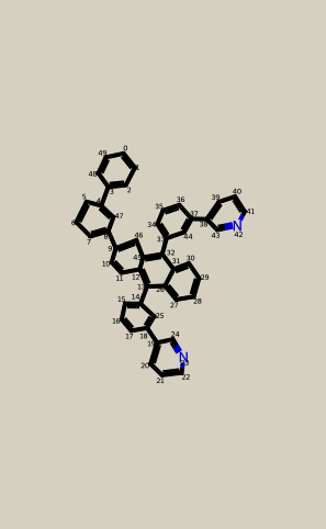 c1ccc(-c2cccc(-c3ccc4c(-c5cccc(-c6cccnc6)c5)c5ccccc5c(-c5cccc(-c6cccnc6)c5)c4c3)c2)cc1